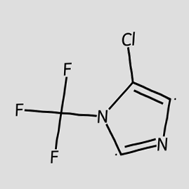 FC(F)(F)n1[c]n[c]c1Cl